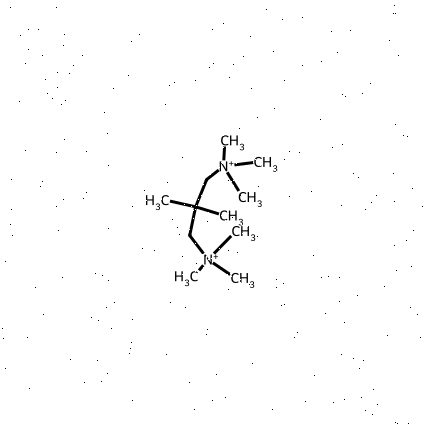 CC(C)(C[N+](C)(C)C)C[N+](C)(C)C